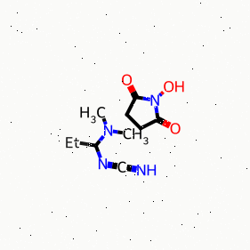 CCC(N=C=N)N(C)C.O=C1CCC(=O)N1O